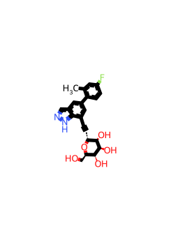 Cc1cc(F)ccc1-c1cc(C#C[C@H]2O[C@H](CO)[C@@H](O)[C@H](O)[C@@H]2O)c2[nH]ncc2c1